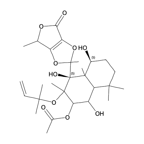 C=CC(C)(C)OC1(C)C(OC(C)=O)C(O)C2C(C)(C)CC[C@H](O)C2(C)[C@@]1(O)C1(C)OC2=C(O1)C(C)OC2=O